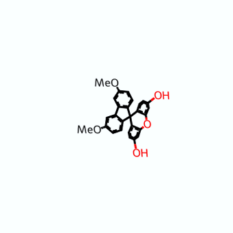 COc1ccc2c(c1)-c1cc(OC)ccc1C21c2ccc(O)cc2Oc2cc(O)ccc21